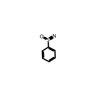 N#S(=O)c1ccccc1